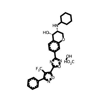 O=C(O)O.O[C@H]1c2ccc(-c3noc(-c4onc(-c5ccccc5)c4C(F)(F)F)n3)cc2OC[C@H]1NC1CCCCC1